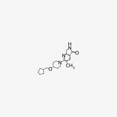 Cc1cc2c(nc1N1CCC(OCC3CCCC3)CC1)CNC2=O